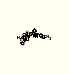 COc1ccc(Cn2nnnc2-c2ccccc2-c2ccc(CN[C@H](C(=O)OCc3ccccc3)C(C)C)cc2)cc1